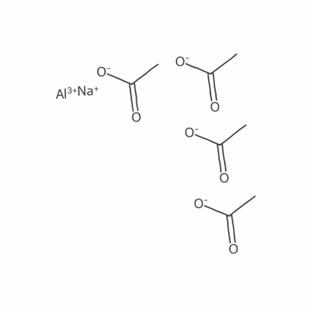 CC(=O)[O-].CC(=O)[O-].CC(=O)[O-].CC(=O)[O-].[Al+3].[Na+]